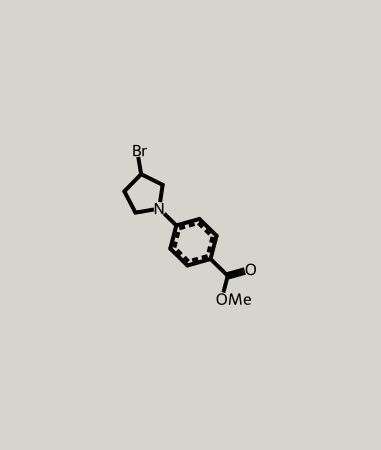 COC(=O)c1ccc(N2CCC(Br)C2)cc1